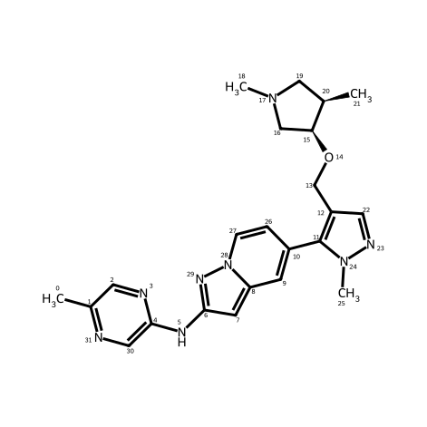 Cc1cnc(Nc2cc3cc(-c4c(CO[C@H]5CN(C)C[C@H]5C)cnn4C)ccn3n2)cn1